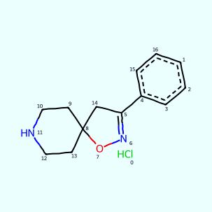 Cl.c1ccc(C2=NOC3(CCNCC3)C2)cc1